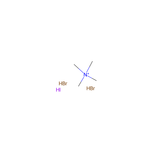 Br.Br.C[N+](C)(C)C.I